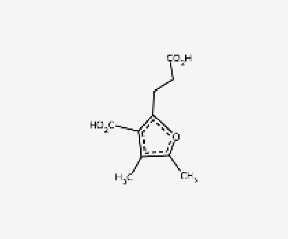 Cc1oc(CCC(=O)O)c(C(=O)O)c1C